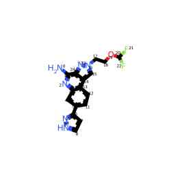 Nc1nc2cc(-c3cc[nH]n3)ccc2c2cn(CCOC(F)F)nc12